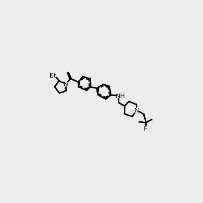 C=C(c1ccc(-c2ccc(NCC3CCN(CC(C)(C)F)CC3)cc2)cc1)N1CCCC1CC